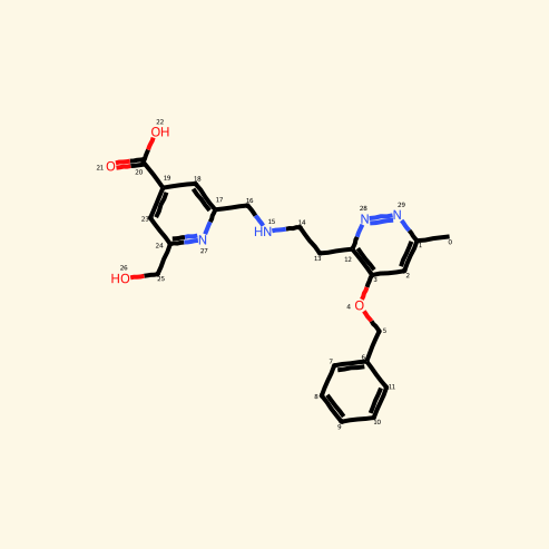 Cc1cc(OCc2ccccc2)c(CCNCc2cc(C(=O)O)cc(CO)n2)nn1